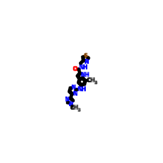 Cc1cc(Nc2nccc(-c3cn(C)cn3)n2)cc2cc(C(=O)NCc3cscn3)[nH]c12